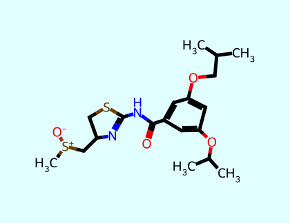 CC(C)COc1cc(OC(C)C)cc(C(=O)NC2=NC(C[S+](C)[O-])CS2)c1